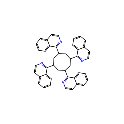 c1ccc2c(C3CC(c4nccc5ccccc45)CC(c4nccc5ccccc45)CC(c4nccc5ccccc45)C3)nccc2c1